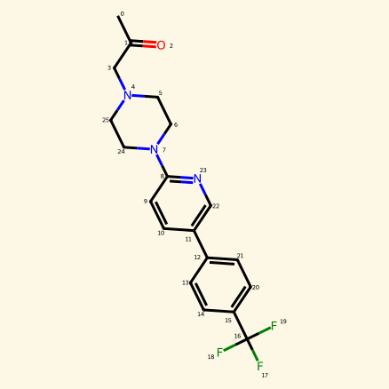 CC(=O)CN1CCN(c2ccc(-c3ccc(C(F)(F)F)cc3)cn2)CC1